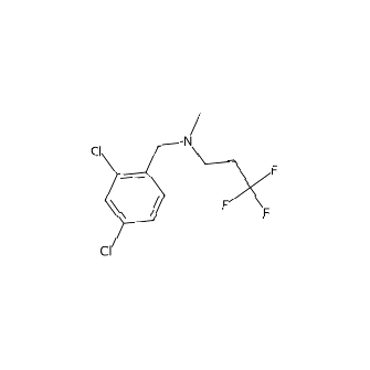 CN(CCC(F)(F)F)Cc1ccc(Cl)cc1Cl